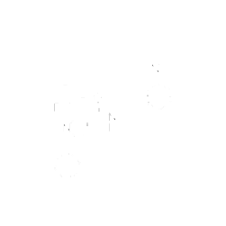 COc1ccccc1-c1nc(C(F)(F)F)c(C(=O)NCCc2cccc(N3CCCC3)c2)s1